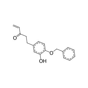 C=CC(=O)CCc1ccc(OCc2ccccc2)c(O)c1